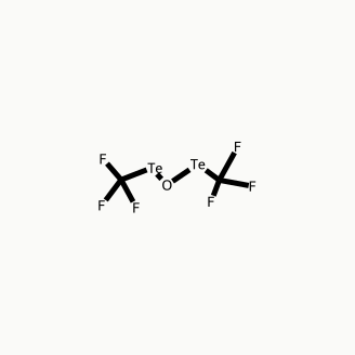 FC(F)(F)[Te]O[Te]C(F)(F)F